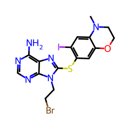 CN1CCOc2cc(Sc3nc4c(N)ncnc4n3CCBr)c(I)cc21